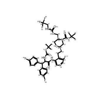 CC(C)(C)OC(=O)NC(C(=O)Nc1cncc(F)c1CC[C@@H]1CN(C(=O)OC(C)(C)C)[C@H](COC(=O)NCC(F)(F)F)CO1)C(c1ccc(F)cc1)c1ccc(F)cc1